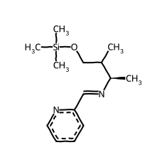 CC(CO[Si](C)(C)C)[C@@H](C)N=Cc1ccccn1